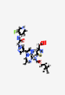 Cc1cn2c(-c3cnn(CC(=O)Nc4ccncc4F)c3)cnc2c(N(COCC[Si](C)(C)C)c2cc(CO)ns2)n1